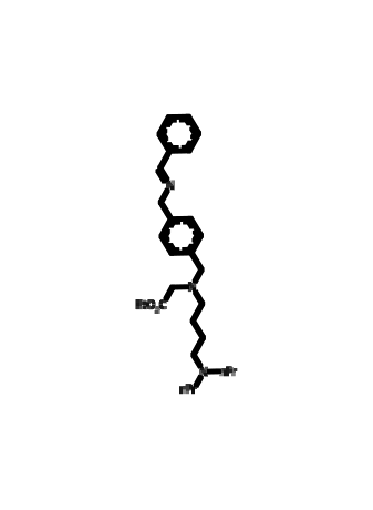 CCCN(CCC)CCCCN(CC(=O)OCC)Cc1ccc(CN=Cc2ccccc2)cc1